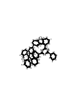 c1ccc(-c2nc(-c3ccccc3)nc(-c3cccc4oc5ccc(-c6ccc7c(c6)-c6ccccc6C76c7ccccc7Oc7ccccc76)cc5c34)n2)cc1